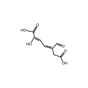 O=C/C(=C\C=C(/O)C(=O)O)CC(=O)O